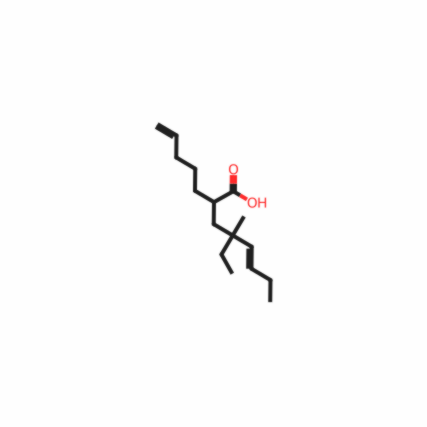 C=CCCCC(CC(C)(C=CCC)CC)C(=O)O